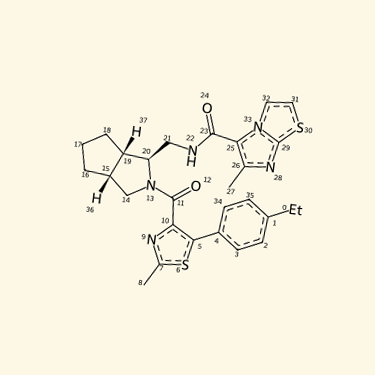 CCc1ccc(-c2sc(C)nc2C(=O)N2C[C@@H]3CCC[C@@H]3[C@H]2CNC(=O)c2c(C)nc3sccn23)cc1